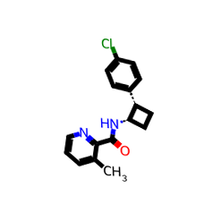 Cc1cccnc1C(=O)N[C@H]1CC[C@H]1c1ccc(Cl)cc1